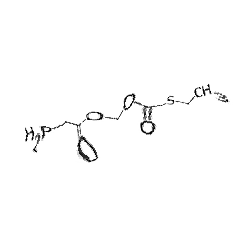 CCSC(=O)OCOC(=O)CP